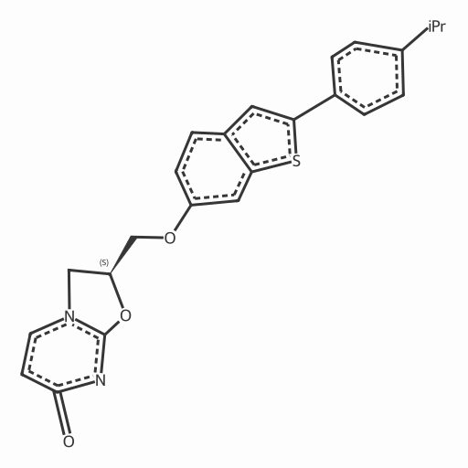 CC(C)c1ccc(-c2cc3ccc(OC[C@@H]4Cn5ccc(=O)nc5O4)cc3s2)cc1